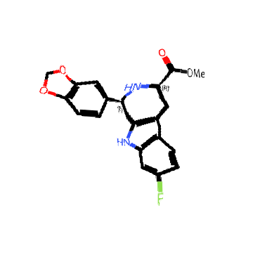 COC(=O)[C@H]1Cc2c([nH]c3cc(F)ccc23)[C@@H](c2ccc3c(c2)OCO3)N1